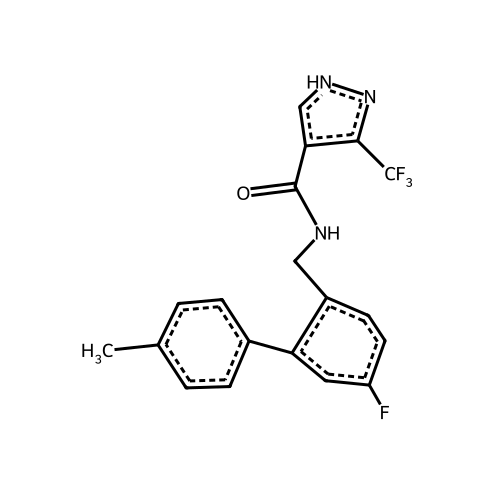 Cc1ccc(-c2cc(F)ccc2CNC(=O)c2c[nH]nc2C(F)(F)F)cc1